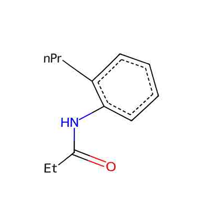 CCCc1ccccc1NC(=O)CC